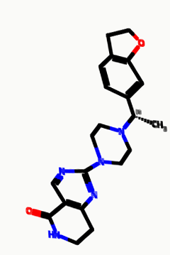 C[C@@H](c1ccc2c(c1)OCC2)N1CCN(c2ncc3c(n2)CCNC3=O)CC1